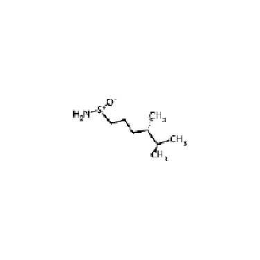 CC(C)[C@@H](C)CCC[S+](N)[O-]